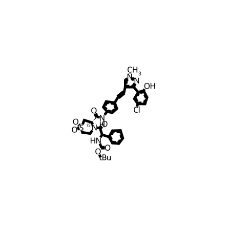 Cn1cc(C#Cc2ccc(NC(=O)[C@H]3CS(=O)(=O)CCN3C(=O)C(NC(=O)OC(C)(C)C)c3ccccc3)cc2)c(-c2cc(Cl)ccc2O)n1